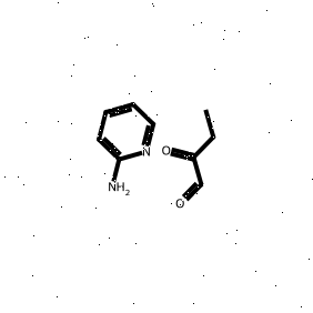 CCC(=O)C=O.Nc1ccccn1